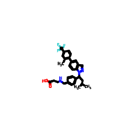 Cc1cc(C(F)(F)F)ccc1-c1ccc2c(cnn2C(CC(C)C)c2ccc(CNCCC(=O)O)cc2)c1